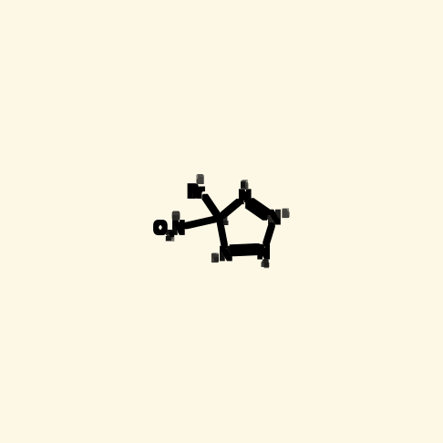 O=[N+]([O-])C1(Br)N=NN=N1